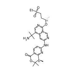 CCS(=O)(=O)CC[C@H](C)Oc1ncc(C(C)(C)N)c2cc(Nc3ccc4c(n3)[C@@H](C)C(C)(C)OC4=O)ncc12